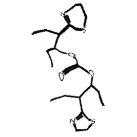 CCC(OC(=O)OC(CC)C(CC)C1=NCCS1)C(CC)C1=NCCS1